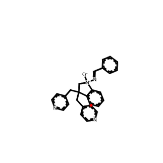 [O-][N+]1(N=Cc2ccccc2)CC(Cc2ccncc2)(Cc2ccncc2)c2ccccc21